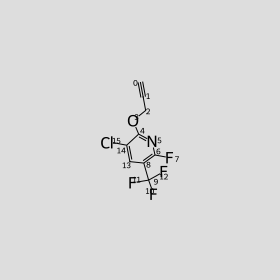 C#CCOc1nc(F)c(C(F)(F)F)cc1Cl